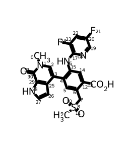 Cn1cc(-c2cc(CS(C)(=O)=O)c(C(=O)O)cc2Nc2ncc(F)cc2F)c2cc[nH]c2c1=O